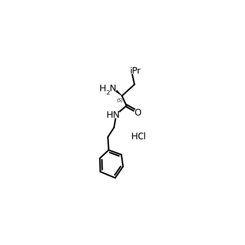 CC(C)C[C@H](N)C(=O)NCCc1ccccc1.Cl